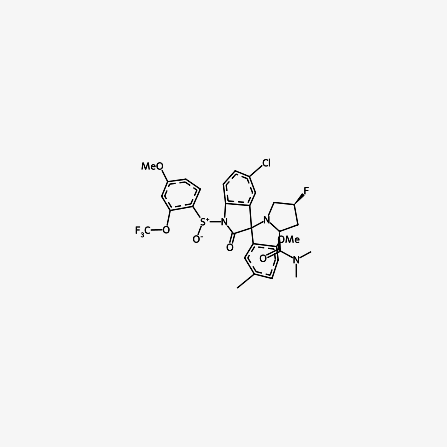 COc1ccc([S+]([O-])N2C(=O)C(c3cc(C)ccc3OC)(N3C[C@@H](F)C[C@H]3C(=O)N(C)C)c3cc(Cl)ccc32)c(OC(F)(F)F)c1